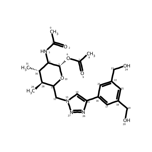 CC(=O)NC1[C@H](OC(C)=O)OC(Cn2cc(-c3cc(CO)cc(CO)c3)nn2)[C@@H](C)[C@@H]1C